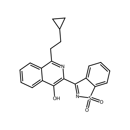 O=S1(=O)N=C(c2nc(CCC3CC3)c3ccccc3c2O)c2ccccc21